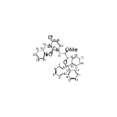 COC(COC(c1ccccc1)(c1ccccc1)c1ccccc1)Cn1ccc(=O)n(Cc2ccccn2)c1=O